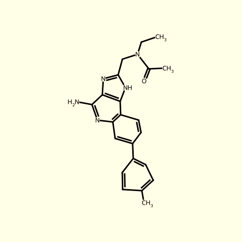 CCN(Cc1nc2c(N)nc3cc(-c4ccc(C)cc4)ccc3c2[nH]1)C(C)=O